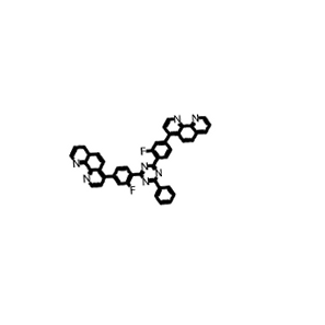 Fc1cc(-c2ccnc3c2C=CC2CC=CN=C32)ccc1-c1nc(-c2ccccc2)nc(-c2ccc(-c3ccnc4c3ccc3cccnc34)cc2F)n1